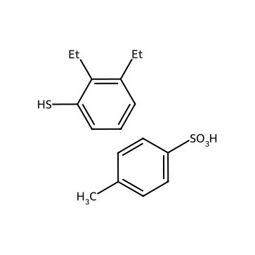 CCc1cccc(S)c1CC.Cc1ccc(S(=O)(=O)O)cc1